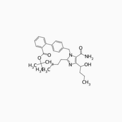 CCCCc1nc(C(O)CCC)c(C(N)=O)n1Cc1ccc(-c2ccccc2C(=O)OC(C)(C)C)cc1